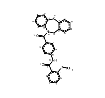 COc1ccccc1C(=O)Nc1ccc(C(=O)N2Cc3ccccc3Sc3ccccc32)cc1